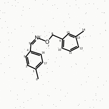 Cc1ccc(/[C]=N\OCc2cccc(C)c2)cc1